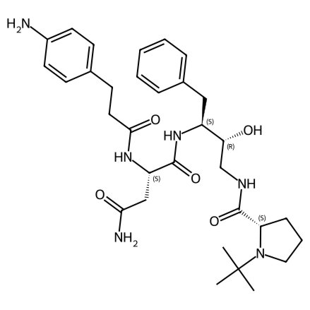 CC(C)(C)N1CCC[C@H]1C(=O)NC[C@@H](O)[C@H](Cc1ccccc1)NC(=O)[C@H](CC(N)=O)NC(=O)CCc1ccc(N)cc1